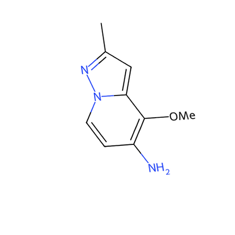 COc1c(N)ccn2nc(C)cc12